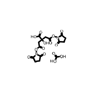 O=C(CC(O)(CC(=O)ON1C(=O)CCC1=O)C(=O)O)ON1C(=O)CCC1=O.O=C(O)O